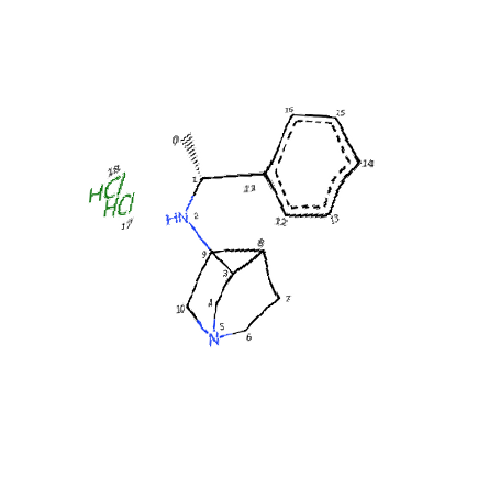 C[C@@H](NC1CN2CCC1CC2)c1ccccc1.Cl.Cl